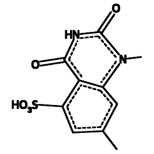 Cc1cc(S(=O)(=O)O)c2c(=O)[nH]c(=O)n(C)c2c1